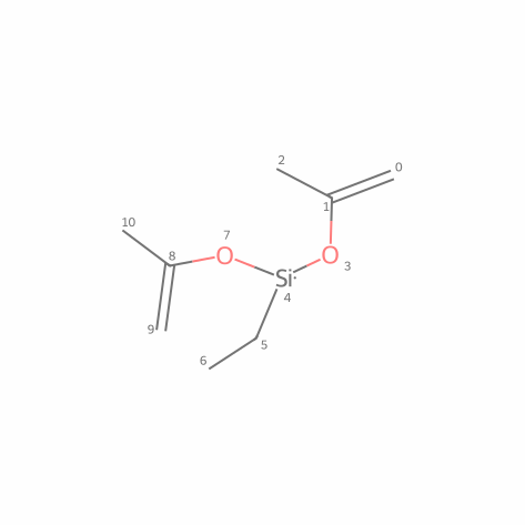 C=C(C)O[Si](CC)OC(=C)C